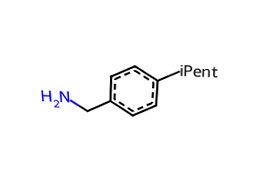 CCCC(C)c1ccc(CN)cc1